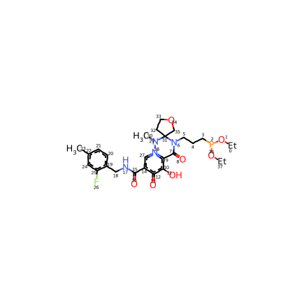 CCOP(CCCN1C(=O)c2c(O)c(=O)c(C(=O)NCc3ccc(C)cc3F)cn2N(C)C12CCOC2)OCC